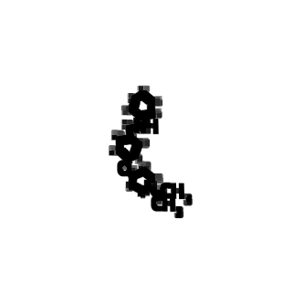 CC(C)N1CCC(Oc2ccc(CNc3ccccc3)cc2)CC1